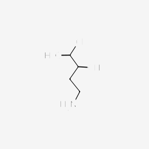 CC(Cl)C(C)CCN